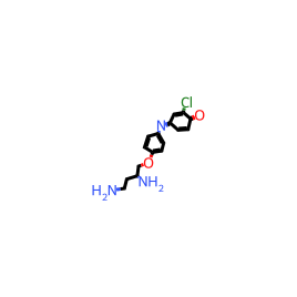 NCCC(N)COc1ccc(N=C2C=CC(=O)C(Cl)=C2)cc1